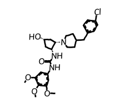 COc1cc(NC(=O)N[C@@H]2C[C@H](O)C[C@@H]2N2CCC(Cc3ccc(Cl)cc3)CC2)cc(OC)c1OC